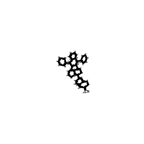 N#Cc1ccc2cc(-c3ccc4c5c(cccc35)-c3c-4c(-c4ccccc4)c4ccccc4c3-c3ccccc3)ccc2c1